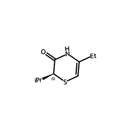 CCC1=CS[C@@H](C(C)C)C(=O)N1